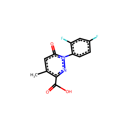 Cc1cc(=O)n(-c2ccc(F)cc2F)nc1C(=O)O